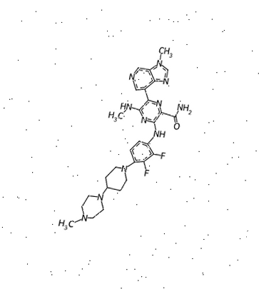 CNc1nc(Nc2ccc(N3CCC(N4CCN(C)CC4)CC3)c(F)c2F)c(C(N)=O)nc1-c1cncc2c1ncn2C